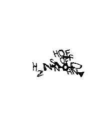 Nc1nc(-c2ccc(C(=O)NC3CC3)cc2)cs1.O=C(O)C(F)(F)F